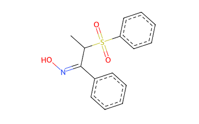 CC(C(=NO)c1ccccc1)S(=O)(=O)c1ccccc1